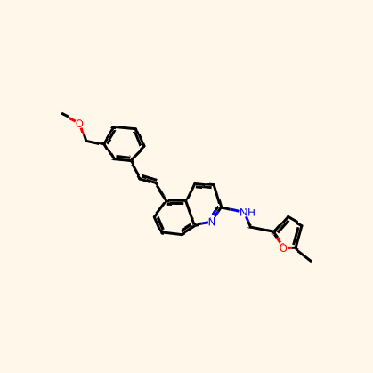 COCc1cccc(C=Cc2cccc3nc(NCc4ccc(C)o4)ccc23)c1